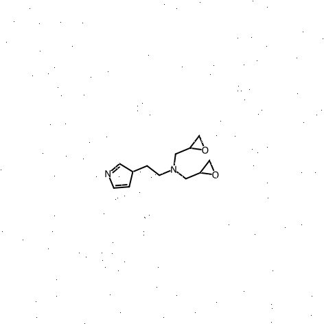 C1=CC(CCN(CC2CO2)CC2CO2)C=N1